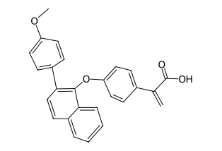 C=C(C(=O)O)c1ccc(Oc2c(-c3ccc(OC)cc3)ccc3ccccc23)cc1